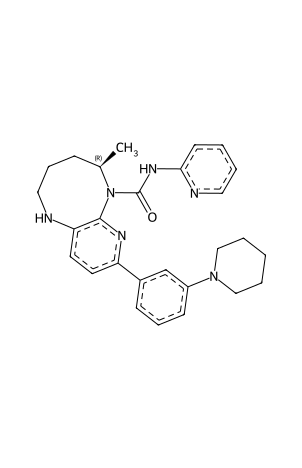 C[C@@H]1CCCNc2ccc(-c3cccc(N4CCCCC4)c3)nc2N1C(=O)Nc1ccccn1